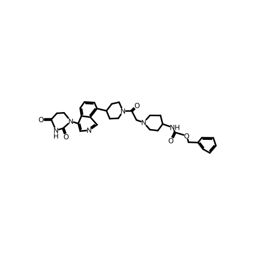 O=C1CCN(c2cncc3c(C4CCN(C(=O)CN5CCC(NC(=O)OCc6ccccc6)CC5)CC4)cccc23)C(=O)N1